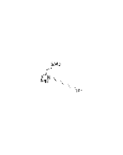 CSCCc1cnnn1CCCCCCCC(C)C